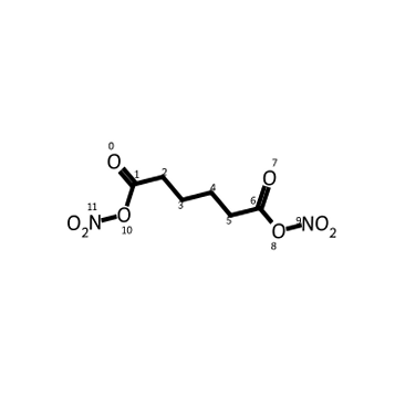 O=C(CCCCC(=O)O[N+](=O)[O-])O[N+](=O)[O-]